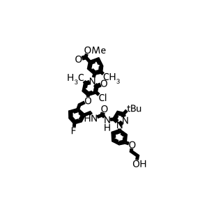 COC(=O)c1ccc(C)c(-n2c(C)cc(OCc3ccc(F)cc3CNC(=O)Nc3cc(C(C)(C)C)nn3-c3cccc(OCCO)c3)c(Cl)c2=O)c1